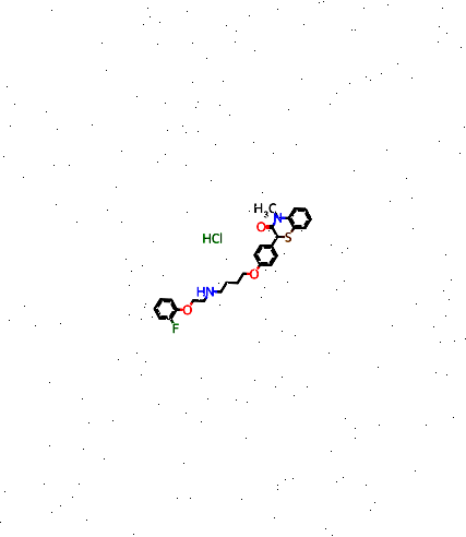 CN1C(=O)C(c2ccc(OCCCCNCCOc3ccccc3F)cc2)Sc2ccccc21.Cl